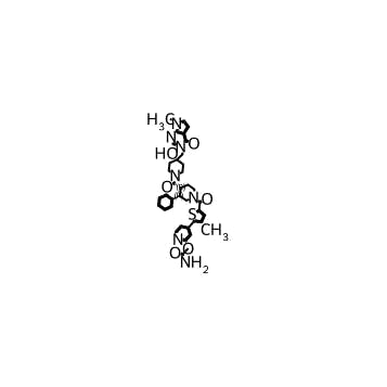 Cc1cc(C(=O)N2CC[C@@H](C(=O)N3CCC(O)(Cn4cnc5c(ccn5C)c4=O)CC3)[C@H](c3ccccc3)C2)sc1-c1ccnc(OC(N)=O)c1